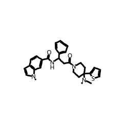 CN(C)C1(c2cccs2)CCN(C(=O)CC(NC(=O)c2ccc3ccn(C)c3c2)c2ccccc2)CC1